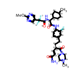 COc1ncc(C(F)(F)C(=O)N[C@H](C(=O)Nc2ccc(CC[C@H](C=CC(N)=O)C(=O)N3CCN(C)CC3)cc2F)C2CCC(C)CC2)cn1